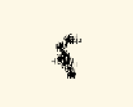 CS(=O)(=O)NCCn1nnnc1SCC1=C(C(=O)O)N2C(=O)[C@@H](NC(=O)Cn3cnnn3)[C@H]2SC1